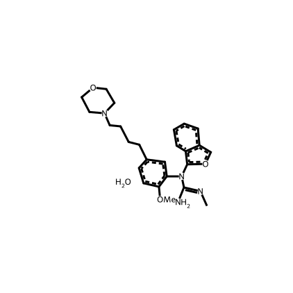 CN=C(N)N(c1cc(CCCCN2CCOCC2)ccc1OC)c1occ2ccccc12.O